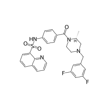 C[C@@H]1CN(Cc2cc(F)cc(F)c2)CCN1C(=O)c1ccc(NS(=O)(=O)c2cccc3cccnc23)cc1